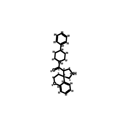 O=C(C1CNC[C@@]12CCOc1ccccc12)N1CCC(c2ccccc2)CC1